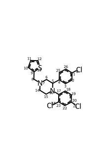 Clc1ccc(C2CN(Cc3cccs3)CCN2c2ccc(Cl)cc2Cl)cc1